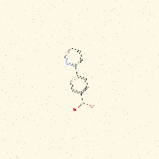 BrC(Br)c1ccc(-c2ccccn2)cc1